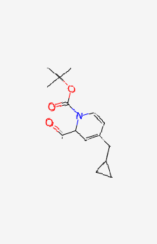 CC(C)(C)OC(=O)N1C=CC(CC2CC2)=CC1[C]=O